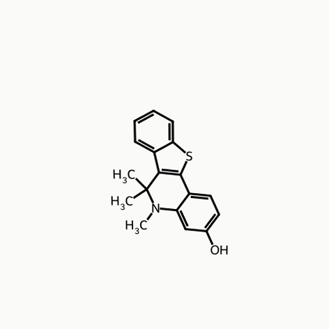 CN1c2cc(O)ccc2-c2sc3ccccc3c2C1(C)C